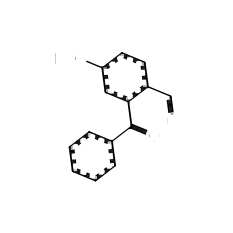 Cc1ccc([C]=O)c(C(=O)c2ccccc2)c1